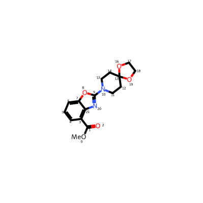 COC(=O)c1cccc2oc(N3CCC4(CC3)OCCO4)nc12